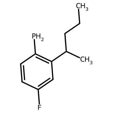 CCCC(C)c1cc(F)ccc1P